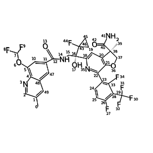 Cc1cnc2c(OC(F)F)cc(C(=O)NC[C@](O)(c3cc4c(c(-c5ccc(F)c(C(F)(F)F)c5F)n3)OC[C@]4(C)C(N)=O)C3(F)CC3)cc2c1